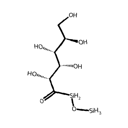 O=C([SiH2]O[SiH3])[C@H](O)[C@@H](O)[C@H](O)[C@H](O)CO